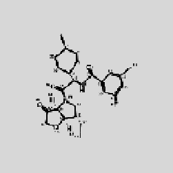 C[C@H]1CC[C@H](C(NC(=O)c2cc(F)cc(F)c2)C(=O)N2C[C@H](CI)[C@H]3OCC(=O)[C@H]32)CC1